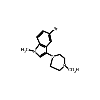 Cn1cc(N2CCN(C(=O)O)CC2)c2cc(Br)ccc21